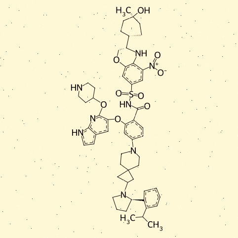 CC(C)c1ccccc1[C@H]1CCCN1C1CC2(CCN(c3ccc(C(=O)NS(=O)(=O)c4cc5c(c([N+](=O)[O-])c4)N[C@@H]([C@H]4CC[C@](C)(O)CC4)CO5)c(Oc4cc5cc[nH]c5nc4OC4CCNCC4)c3)CC2)C1